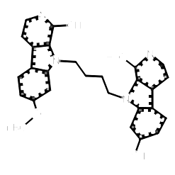 CCCCOc1ccc2c3ccnc(C)c3n(CCCCn3c4cc(C)ccc4c4ccnc(C)c43)c2c1